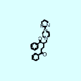 O=C(CCC(CN1CCN(c2ncccn2)CC1)C(=O)c1ccccc1)c1ccccc1